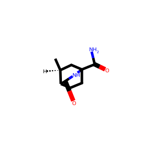 C[C@H]1CC2(C(N)=O)CCC1C(=O)N2